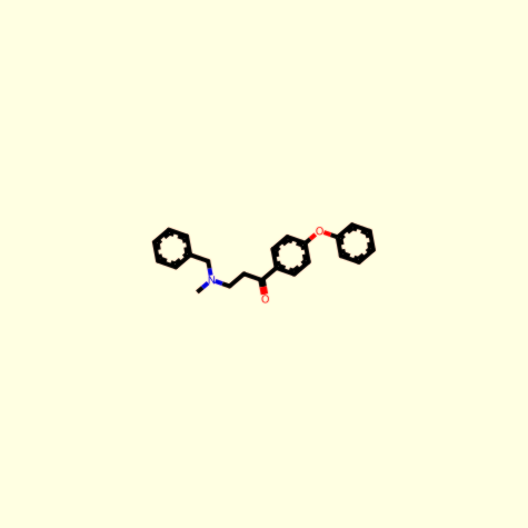 CN(CCC(=O)c1ccc(Oc2ccccc2)cc1)Cc1ccccc1